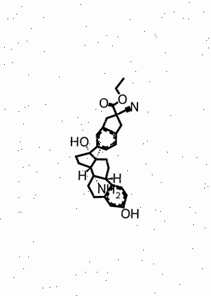 CCOC(=O)C1(C#N)Cc2ccc([C@]3(O)CC[C@H]4[C@]5(N)CCc6cc(O)ccc6[C@H]5CC[C@@]43C)cc2C1